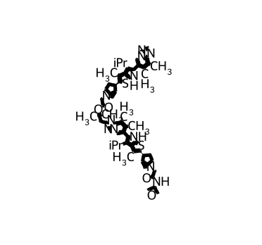 Cc1c(-c2[nH]c3sc([C@@H]4CC5CC4CN5CC(=O)OC(C)(C)Cc4nc5c(C)c(C)c(-c6[nH]c7sc([C@@H]8CC9CC8CN9CC(=O)NC8COC8)c(C)c7c6C(C)C)cn5n4)c(C)c3c2C(C)C)cn2ncnc2c1C